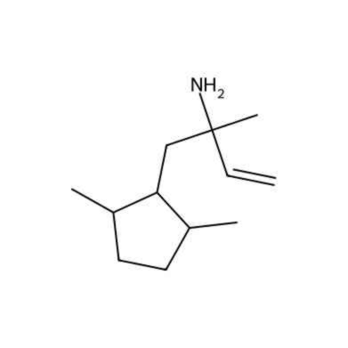 C=CC(C)(N)CC1C(C)CCC1C